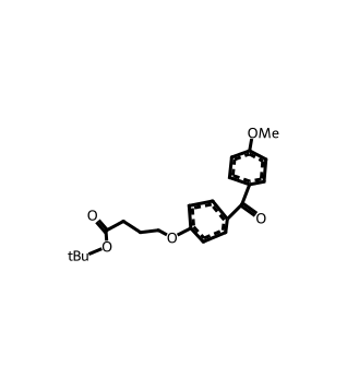 COc1ccc(C(=O)c2ccc(OCCCC(=O)OC(C)(C)C)cc2)cc1